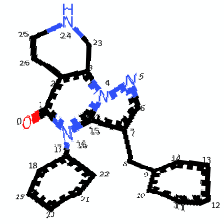 O=c1c2c(n3ncc(Cc4ccccc4)c3n1-c1ccccc1)CNCC2